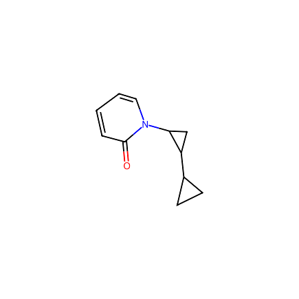 O=c1ccccn1C1CC1C1CC1